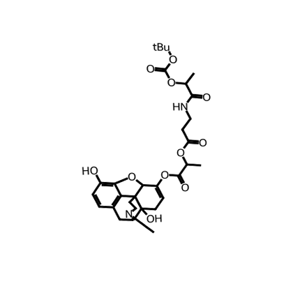 CC(OC(=O)OC(C)(C)C)C(=O)NCCC(=O)OC(C)C(=O)OC1=CCC2(O)C3Cc4ccc(O)c5c4C2(CCN3C)C1O5